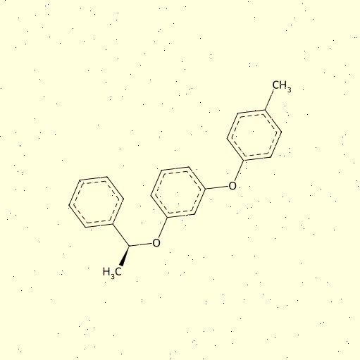 Cc1ccc(Oc2cccc(O[C@@H](C)c3ccccc3)c2)cc1